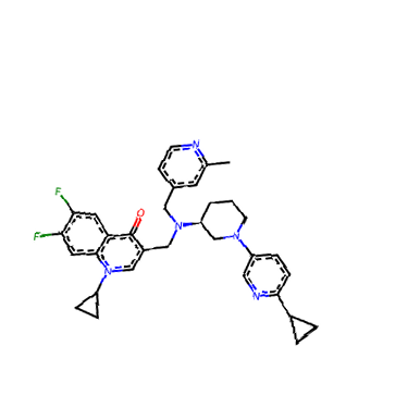 Cc1cc(CN(Cc2cn(C3CC3)c3cc(F)c(F)cc3c2=O)[C@H]2CCCN(c3ccc(C4CC4)nc3)C2)ccn1